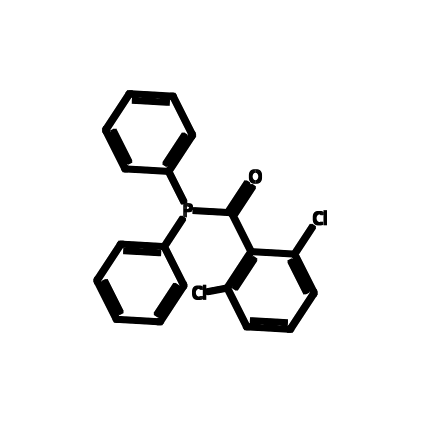 O=C(c1c(Cl)cccc1Cl)P(c1ccccc1)c1ccccc1